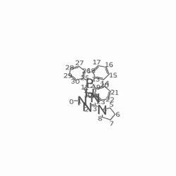 Cn1nc(N2CCCC2)nc1C[PH](c1ccccc1)(c1ccccc1)c1ccccc1